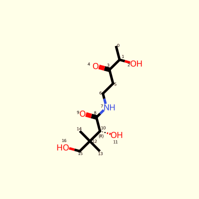 CC(O)C(=O)CCNC(=O)[C@H](O)C(C)(C)CO